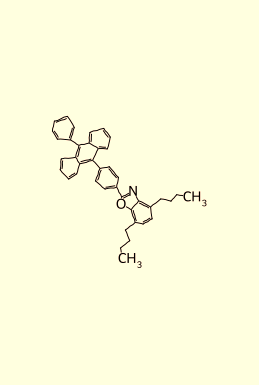 CCCCc1ccc(CCCC)c2oc(-c3ccc(-c4c5ccccc5c(-c5ccccc5)c5ccccc45)cc3)nc12